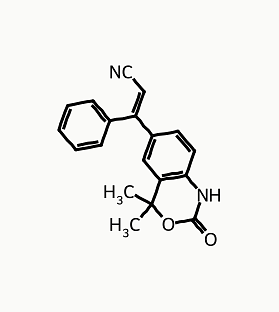 CC1(C)OC(=O)Nc2ccc(/C(=C/C#N)c3ccccc3)cc21